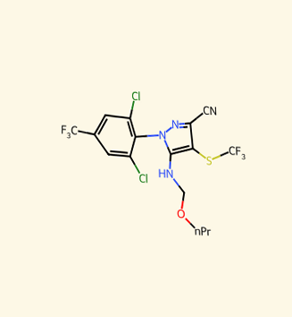 CCCOCNc1c(SC(F)(F)F)c(C#N)nn1-c1c(Cl)cc(C(F)(F)F)cc1Cl